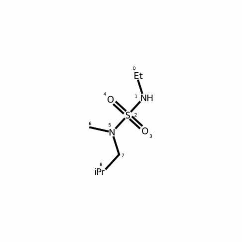 CCNS(=O)(=O)N(C)CC(C)C